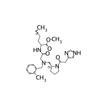 COC(=O)C(CCSC)NC(=O)CN(Cc1ccccc1C)C[C@@H]1CCCN1C(=O)Cc1c[nH]cn1